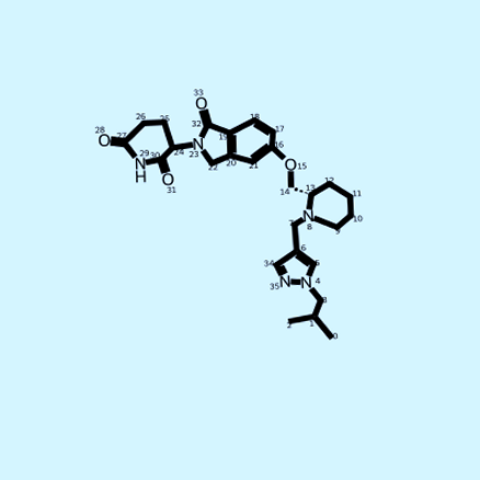 CC(C)Cn1cc(CN2CCCC[C@H]2COc2ccc3c(c2)CN(C2CCC(=O)NC2=O)C3=O)cn1